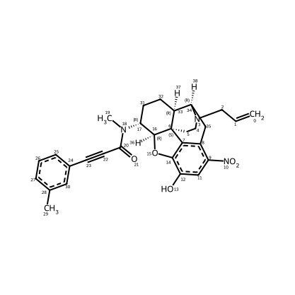 C=CCN1CC[C@]23c4c5c([N+](=O)[O-])cc(O)c4O[C@H]2[C@H](N(C)C(=O)C#Cc2cccc(C)c2)CC[C@H]3[C@H]1C5